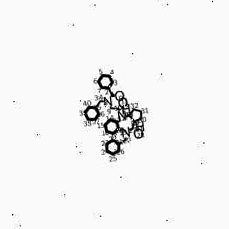 O=C(c1ccccc1)N(CC(=O)N1c2ccccc2N(Cc2ccccc2)C(=O)[C@H]2CCC[C@H]21)Cc1ccccc1